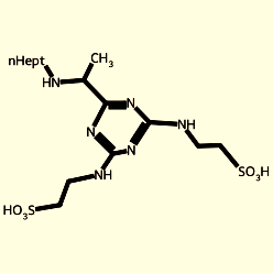 CCCCCCCNC(C)c1nc(NCCS(=O)(=O)O)nc(NCCS(=O)(=O)O)n1